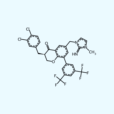 Cn1ccn(Cc2cc3c(c(-c4cc(C(F)(F)F)cc(C(F)(F)F)c4)c2)OC[C@@H](Cc2ccc(Cl)c(Cl)c2)C3=O)c1=N